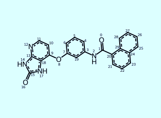 O=C(Nc1cccc(Oc2ccnc3[nH]c(=O)[nH]c23)c1)c1cccc2ccccc12